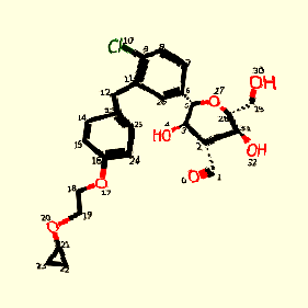 O=C[C@@H]1[C@@H](O)[C@H](c2ccc(Cl)c(Cc3ccc(OCCOC4CC4)cc3)c2)O[C@H](CO)[C@H]1O